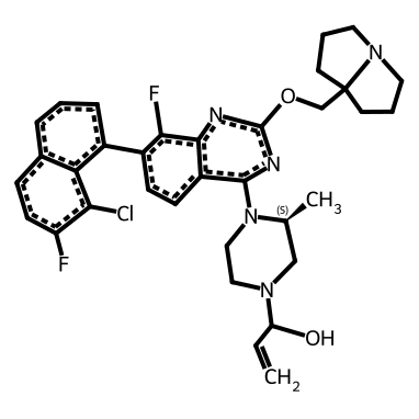 C=CC(O)N1CCN(c2nc(OCC34CCCN3CCC4)nc3c(F)c(-c4cccc5ccc(F)c(Cl)c45)ccc23)[C@@H](C)C1